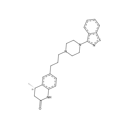 C[C@H]1CC(=O)Nc2ccc(CCCN3CCN(c4nsc5ccccc45)CC3)cc21